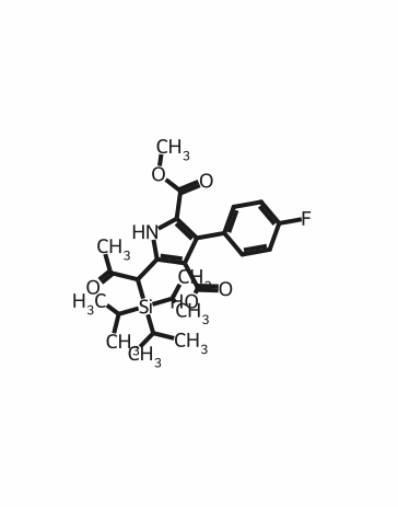 COC(=O)c1[nH]c(C(C(C)=O)[Si](C(C)C)(C(C)C)C(C)C)c(C(=O)O)c1-c1ccc(F)cc1